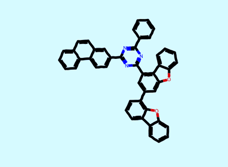 c1ccc(-c2nc(-c3ccc4c(ccc5ccccc54)c3)nc(-c3cc(-c4cccc5c4oc4ccccc45)cc4oc5ccccc5c34)n2)cc1